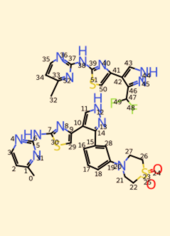 Cc1ccnc(Nc2nc(-c3c[nH]nc3-c3cccc(N4CCS(=O)(=O)CC4)c3)cs2)n1.Cc1ccnc(Nc2nc(-c3c[nH]nc3C(F)F)cs2)n1